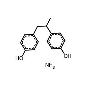 CC(Cc1ccc(O)cc1)c1ccc(O)cc1.N